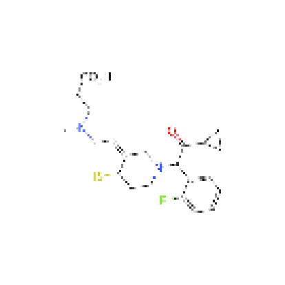 CN(C/C=C1/CN(C(C(=O)C2CC2)c2ccccc2F)CCC1S)CCC(=O)O